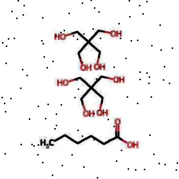 CCCCCC(=O)O.OCC(CO)(CO)CO.OCC(CO)(CO)CO